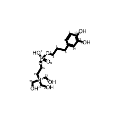 O=P(O)(OCCCc1ccc(O)c(O)c1)OCC[N+](CO)(CO)CO